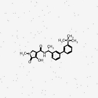 C[C@@H](NC(=O)C1=C(O)C(=O)N(C)C1)c1cccc(-c2cccc([Si](C)(C)C)c2)c1